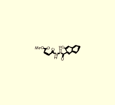 COC(=O)/C=C\C(=O)NNC(=O)c1cc2ccccc2cc1O